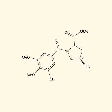 COC(=O)C1C[C@@H](C(F)(F)F)CN1C(=S)c1cc(OC)c(OC)c(C(F)(F)F)c1